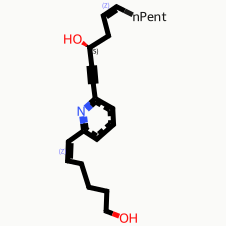 CCCCC/C=C\C[C@H](O)C#Cc1cccc(/C=C\CCCCO)n1